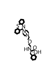 O=C(O)[C@@H](Cc1ccccc1)NCCOCCN1CCN(C2=Nc3ccccc3Sc3ccccc32)CC1